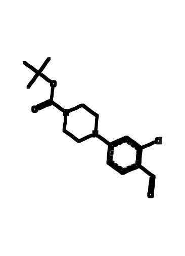 CC(C)(C)OC(=O)N1CCN(c2ccc(C=O)c(Cl)c2)CC1